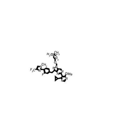 COc1ncnc(C2CC2)c1-c1ncc2c(n1)c(Cc1ccc(-c3nc(C(F)(F)F)cn3C)c(F)c1)nn2COCC[Si](C)(C)C